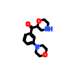 O=C(c1cccc(N2CCOCC2)c1)C1CNCCO1